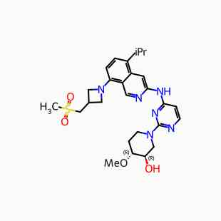 CO[C@@H]1CCN(c2nccc(Nc3cc4c(C(C)C)ccc(N5CC(CS(C)(=O)=O)C5)c4cn3)n2)C[C@H]1O